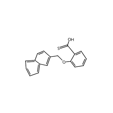 OC(=S)c1ccccc1OCc1ccc2ccccc2c1